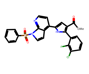 COC(=O)c1cc(-c2ccnc3c2ccn3S(=O)(=O)c2ccccc2)[nH]c1-c1cccc(Cl)c1F